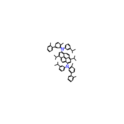 Cc1ccccc1-c1ccc(C)c(N(c2cccc(C(C)C)c2)c2cc(C(C)C)c3ccc4c(N(c5cccc(C(C)C)c5)c5cc(-c6ccccc6C)ccc5C)cc(C(C)C)c5ccc2c3c54)c1